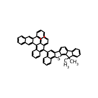 CC1(C)c2ccccc2-c2ccc3c(sc4c5ccccc5c(-c5c6ccccc6c(-c6cc7ccccc7cc6-c6ccccc6)c6ccccc56)cc34)c21